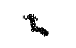 CC(C)(C)Cc1nc(-c2ccc(C(=O)N3CCN(c4nc5nc(C(F)(F)F)ccc5o4)CC3)cc2)no1